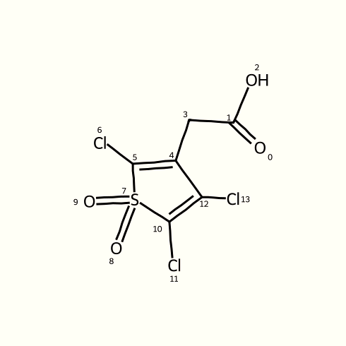 O=C(O)CC1=C(Cl)S(=O)(=O)C(Cl)=C1Cl